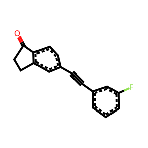 O=C1CCc2cc(C#Cc3cccc(F)c3)ccc21